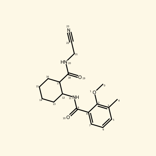 COc1c(C)cccc1C(=O)NC1CCCCC1C(=O)NCC#N